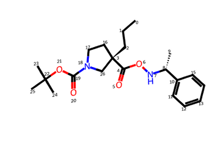 CCC[C@]1(C(=O)ON[C@H](C)c2ccccc2)CCN(C(=O)OC(C)(C)C)C1